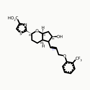 O=C(O)c1csc([C@H]2CC[C@@H]3C(/C=C/COc4ccccc4C(F)(F)F)[C@H](O)C[C@@H]3O2)n1